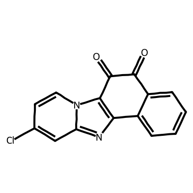 O=C1C(=O)c2c(nc3cc(Cl)ccn23)-c2ccccc21